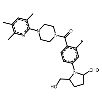 Cc1cc(C)c(N2CCN(C(=O)c3ccc(N4C(C=O)CCC4CO)cc3F)CC2)nc1C